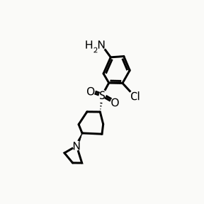 Nc1ccc(Cl)c(S(=O)(=O)[C@H]2CC[C@H](N3CCC3)CC2)c1